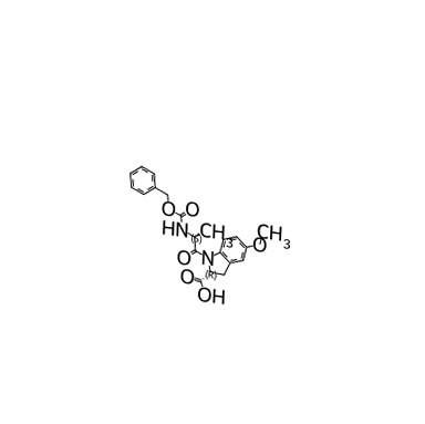 COc1ccc2c(c1)C[C@H](C(=O)O)N2C(=O)[C@H](C)NC(=O)OCc1ccccc1